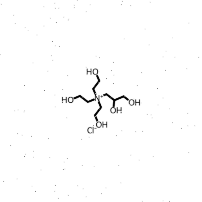 OCC[N+](CCO)(CCO)CC(O)CO.[Cl-]